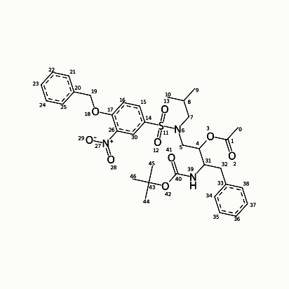 CC(=O)OC(CN(CC(C)C)S(=O)(=O)c1ccc(OCc2ccccc2)c([N+](=O)[O-])c1)C(Cc1ccccc1)NC(=O)OC(C)(C)C